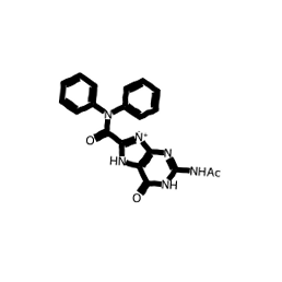 CC(=O)Nc1nc2c(c(=O)[nH]1)NC(C(=O)N(c1ccccc1)c1ccccc1)=[N+]2